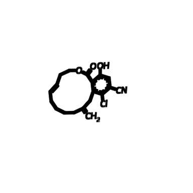 C=C1CCCC/C=C/CCOC(=O)c2c(O)cc(C#N)c(Cl)c2C1